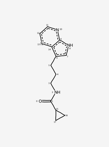 O=C(NCCCc1c[nH]c2nccnc12)C1CC1